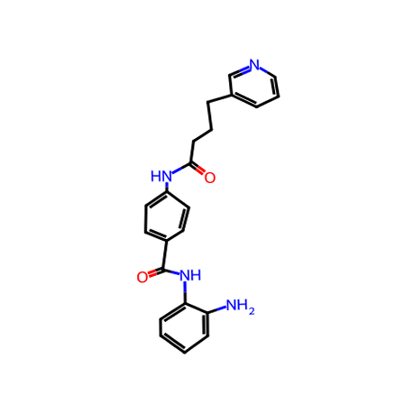 Nc1ccccc1NC(=O)c1ccc(NC(=O)CCCc2cccnc2)cc1